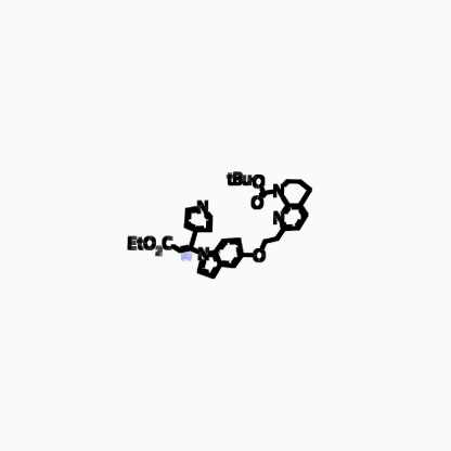 CCOC(=O)/C=C(\c1ccncc1)n1ccc2cc(OCCc3ccc4c(n3)N(C(=O)OC(C)(C)C)CCC4)ccc21